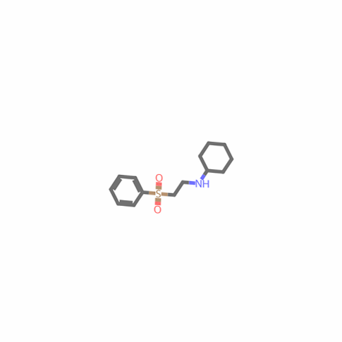 O=S(=O)(CCNC1CCCCC1)c1ccccc1